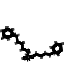 O=[PH](OCCCCc1ccccc1)OCCCCc1ccccc1